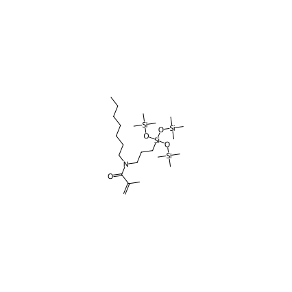 C=C(C)C(=O)N(CCCCCCC)CCC[Si](O[Si](C)(C)C)(O[Si](C)(C)C)O[Si](C)(C)C